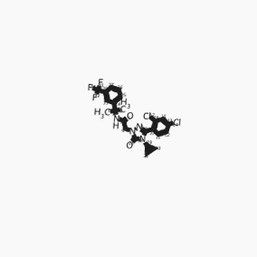 CC(C)(NC(=O)Cn1nc(-c2ccc(Cl)cc2Cl)n(C2CC2)c1=O)c1cccc(C(F)(F)F)c1